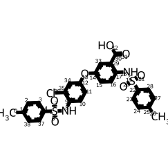 Cc1ccc(S(=O)(=O)Nc2ccc(Oc3ccc(NS(=O)(=O)c4ccc(C)cc4)c(C(=O)O)c3)cc2Cl)cc1